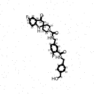 O=C(NCc1ccc(CO)cc1)c1cc(CNC(=O)N2CCC3(CC2)CC(=O)c2cc(F)ccc2N3)ccc1F